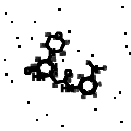 CN(C)c1cccc(NC(=O)Cc2nc(N3CCOCC3)cc(=O)[nH]2)c1